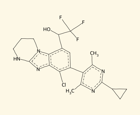 Cc1nc(C2CC2)nc(C)c1-c1cc(C(O)C(F)(F)F)c2c(nc3n2CCCN3)c1Cl